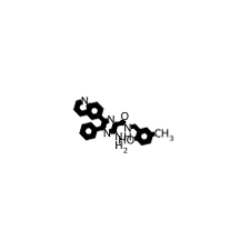 Cc1ccc(O)c(CNC(=O)c2nc(-c3ccc4ncccc4c3)c(-c3ccccc3)nc2N)c1